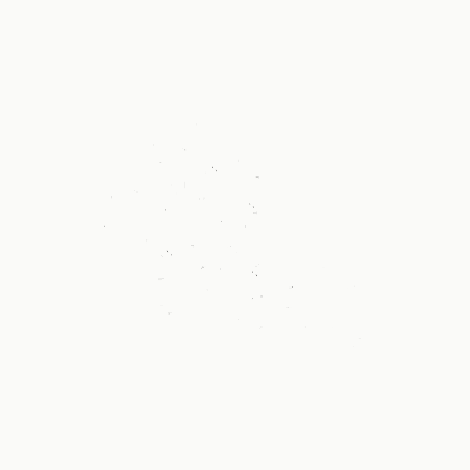 CC(C)(Oc1cccc(N2CCC[C@@H](C(=O)N(Cc3ccc(C(C)(C)C)cc3)C3CC3)C2)c1)C(=O)N1CCNCC1.Cl